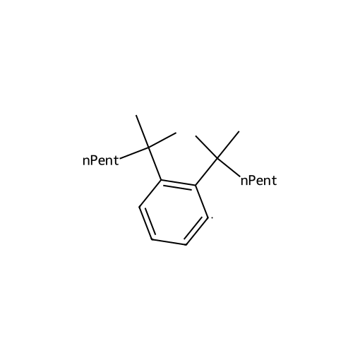 CCCCCC(C)(C)c1[c]cccc1C(C)(C)CCCCC